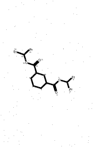 CCC(OC(=O)C1CCCC(C(=O)OC(CC)C(C)C)C1)C(C)C